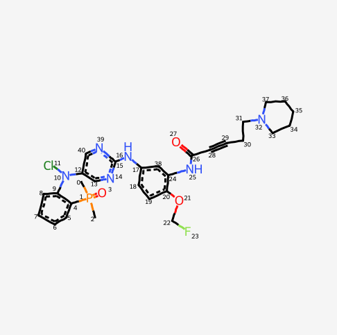 CP(C)(=O)c1ccccc1N(Cl)c1cnc(Nc2ccc(OCF)c(NC(=O)C#CCCN3CCCCC3)c2)nc1